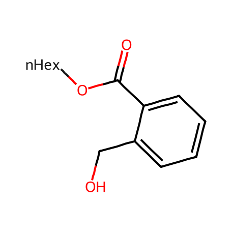 CCCCCCOC(=O)c1ccccc1CO